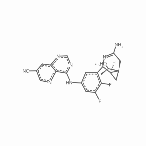 C[C@@H](O)[C@@]12CC(N)=N[C@](C)(c3cc(Nc4ncnc5cc(C#N)cnc45)cc(F)c3F)[C@@H]1C2